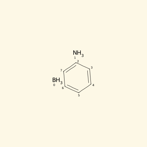 B.N.c1ccccc1